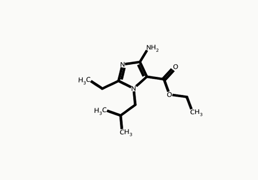 CCOC(=O)c1c(N)nc(CC)n1CC(C)C